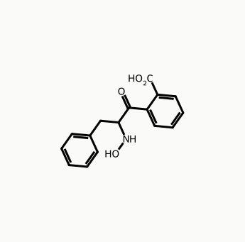 O=C(O)c1ccccc1C(=O)C(Cc1ccccc1)NO